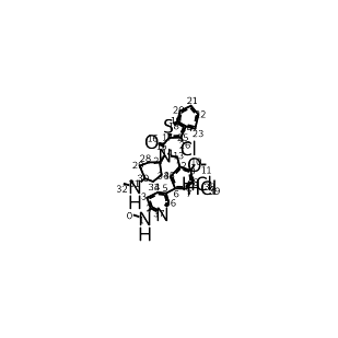 CNc1ccc(-c2ccc(OC)c(CN(C(=O)c3sc4ccccc4c3Cl)C3CCC(NC)CC3)c2)cn1.Cl.Cl